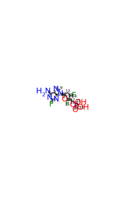 Nc1nc(F)nc2c1ncn2[C@H]1C[C@H](F)[C@@](F)(COP(=O)(O)O)O1